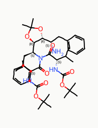 CC(C)[C@H](NC(=O)OC(C)(C)C)C(=O)N(C(=O)[C@@H](NC(=O)OC(C)(C)C)C(C)C)[C@@H](Cc1ccccc1)[C@H]1OC(C)(C)O[C@@H]1[C@@H](N)Cc1ccccc1